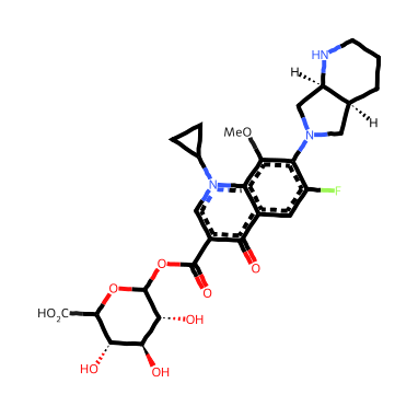 COc1c(N2C[C@@H]3CCCN[C@@H]3C2)c(F)cc2c(=O)c(C(=O)OC3OC(C(=O)O)[C@@H](O)[C@H](O)[C@H]3O)cn(C3CC3)c12